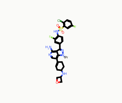 CC(C)n1nc(-c2ccc(NS(=O)(=O)c3cc(F)ccc3Cl)c(F)c2)c2c(N)ncc(C3=CCC(NC4COC4)CC3)c21